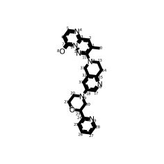 Cc1cc2nccc(=O)n2nc1N1CCc2ncc(N3CCOC(c4ccccn4)C3)cc2C1